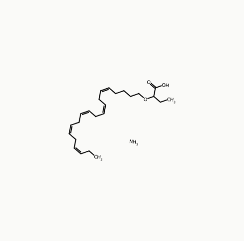 CC/C=C\C/C=C\C/C=C\C/C=C\C/C=C\CCCCOC(CC)C(=O)O.N